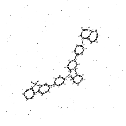 CC1(C)c2ccccc2-c2ccc(-c3ccc(-n4c5ccccc5c5cc(-c6ccc(-c7cncc8ccccc78)cc6)ccc54)cc3)cc21